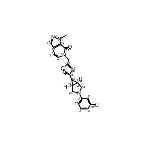 Cn1nnc2ncn(Cc3nc(C4[C@H]5CN(c6cccc(Cl)c6)C[C@@H]45)no3)c(=O)c21